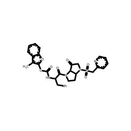 Cc1c(OC(=O)NC(CC(C)C)C(=O)N2CCC3C2C(=O)CN3S(=O)(=O)Cc2ccccn2)oc2ccccc12